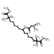 COC(=O)C(C)(C)CCCCCC(CCCCCC(C)(C)C(=O)OC)OC(=O)CN(C)C